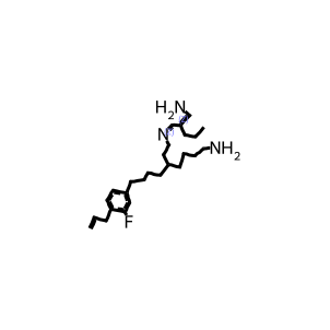 C=CCc1ccc(CCCCC(CCCCN)CC/N=C\C(=C/N)CCC)cc1F